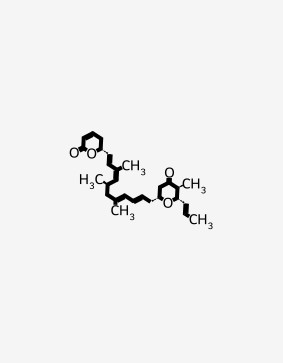 C/C=C/[C@@H]1O[C@H](C/C=C/C=C(\C)C[C@@H](C)/C=C(C)\C=C\[C@H]2CC=CC(=O)O2)CC(=O)[C@@H]1C